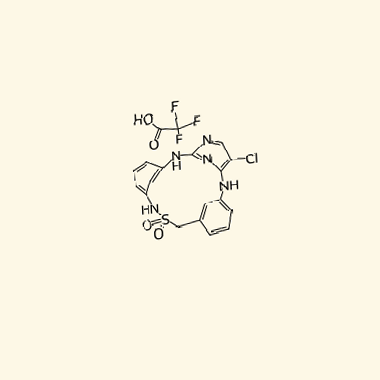 O=C(O)C(F)(F)F.O=S1(=O)Cc2cccc(c2)Nc2nc(ncc2Cl)Nc2cccc(c2)N1